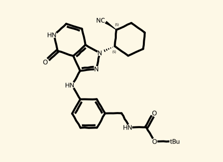 CC(C)(C)OC(=O)NCc1cccc(Nc2nn([C@H]3CCCC[C@@H]3C#N)c3cc[nH]c(=O)c23)c1